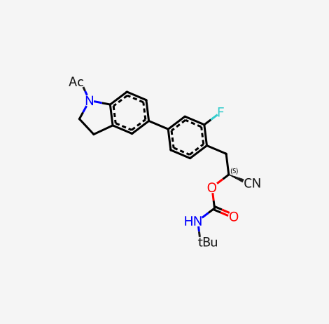 CC(=O)N1CCc2cc(-c3ccc(C[C@@H](C#N)OC(=O)NC(C)(C)C)c(F)c3)ccc21